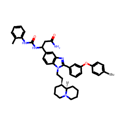 Cc1ccccc1NC(=O)NC(CC(N)=O)c1ccc2c(c1)nc(-c1cccc(Oc3ccc(C(C)(C)C)cc3)c1)n2CC[C@@H]1CCCN2CCCC[C@H]12